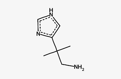 CC(C)(CN)c1c[nH]cn1